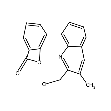 Cc1cc2ccccc2nc1CCl.O=C1Oc2ccccc21